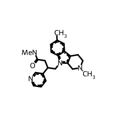 CNC(=O)CC(Cn1c2c(c3cc(C)ccc31)CCN(C)C2)c1cccnc1